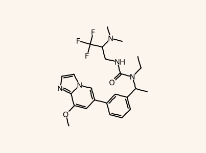 CCN(C(=O)NCC(N(C)C)C(F)(F)F)C(C)c1cccc(-c2cc(OC)c3nccn3c2)c1